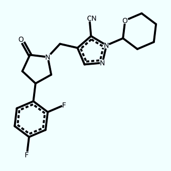 N#Cc1c(CN2CC(c3ccc(F)cc3F)CC2=O)cnn1C1CCCCO1